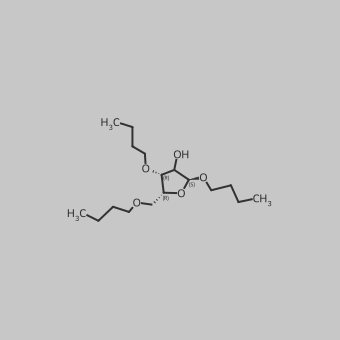 CCCCOC[C@H]1O[C@H](OCCCC)C(O)[C@H]1OCCCC